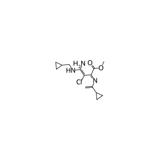 C=C(/N=C(C(=O)OC)\C(Cl)=C(/N)NCC1CC1)C1CC1